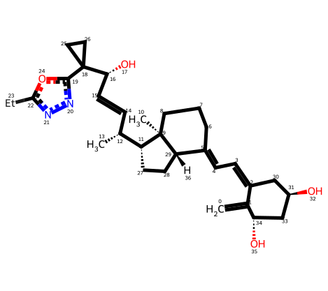 C=C1/C(=C\C=C2/CCC[C@]3(C)[C@@H]([C@H](C)/C=C/[C@@H](O)C4(c5nnc(CC)o5)CC4)CC[C@@H]23)C[C@@H](O)C[C@@H]1O